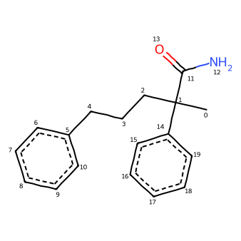 CC(CCCc1ccccc1)(C(N)=O)c1ccccc1